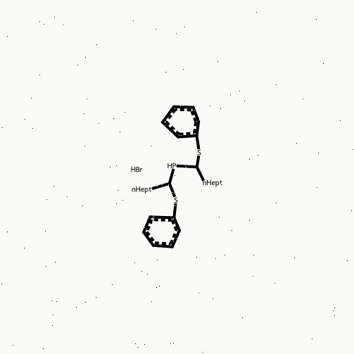 Br.CCCCCCCC(PC(CCCCCCC)Sc1ccccc1)Sc1ccccc1